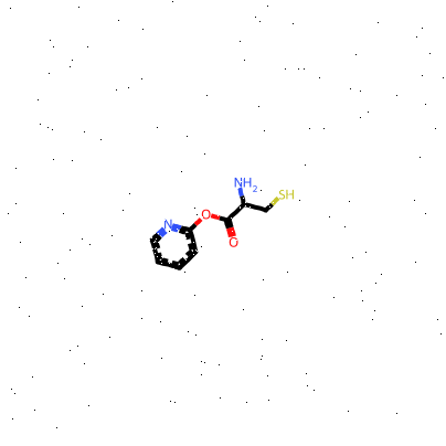 NC(CS)C(=O)Oc1ccccn1